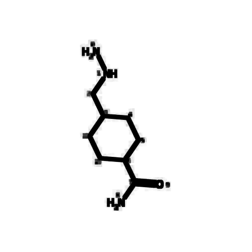 NNCC1CCC(C(N)=O)CC1